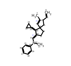 C=CCCC1(/C=C/C)CC/C(=C\N(C)c2ccccc2)C1=C1CC1